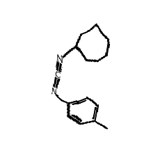 Cc1ccc(N=C=NC2CCCCC2)cc1